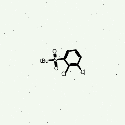 CC(C)(C)S(=O)(=O)c1cccc(Cl)c1Cl